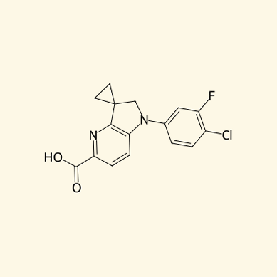 O=C(O)c1ccc2c(n1)C1(CC1)CN2c1ccc(Cl)c(F)c1